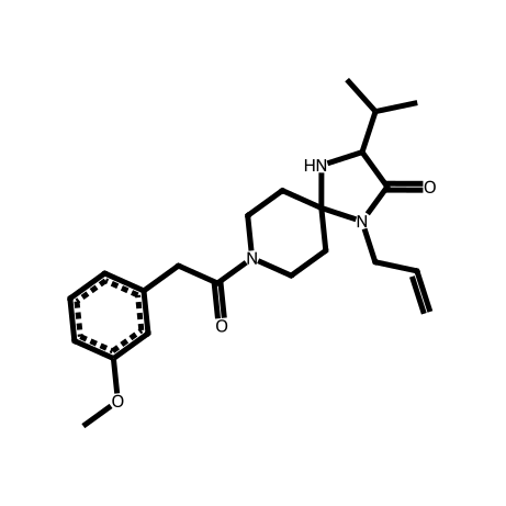 C=CCN1C(=O)C(C(C)C)NC12CCN(C(=O)Cc1cccc(OC)c1)CC2